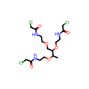 CC(OCCNC(=O)CCl)C(COCCNC(=O)CCl)OCCNC(=O)CCl